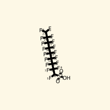 O=S(=O)(O)C(F)C(F)(F)C(F)(F)C(F)(F)C(F)(F)C(F)(F)C(F)(F)C(F)(F)C(F)F